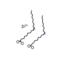 CCCCCCCC/C=C\CCCCCCCC(=O)[O-].CCCCCCCC/C=C\CCCCCCCC(=O)[O-].[Zr+2]